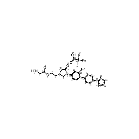 NCC(=O)OCC[C@@H]1CN(c2ccc(-c3ccc(-n4nccn4)nc3)c(F)c2)C(=O)O1.O=C(O)C(F)(F)F